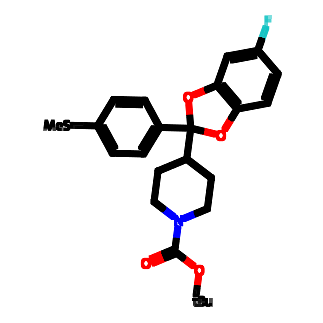 CSc1ccc(C2(C3CCN(C(=O)OC(C)(C)C)CC3)Oc3ccc(F)cc3O2)cc1